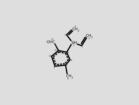 C=C[SiH](C=C)c1cc(C)ccc1[C]=O